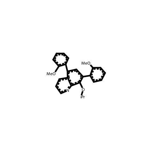 COc1ccccc1-c1cc(-c2ccccc2OC)c2cccnc2c1OC(C)C